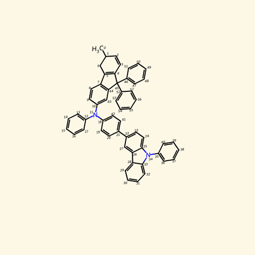 CC1C=CC2=C(C1)c1ccc(N(c3ccccc3)c3ccc(-c4ccc5c(c4)c4ccccc4n5-c4ccccc4)cc3)cc1C2(c1ccccc1)c1ccccc1